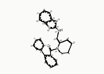 O=C(c1ccccc1-c1ccccc1)N1CCCCC1CNc1nc2ccccc2s1